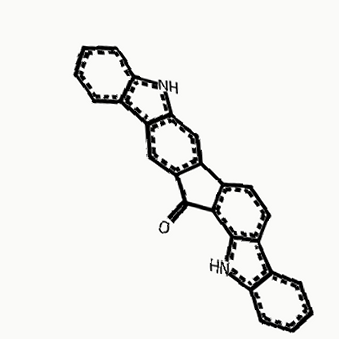 O=C1c2cc3c(cc2-c2ccc4c([nH]c5ccccc54)c21)[nH]c1ccccc13